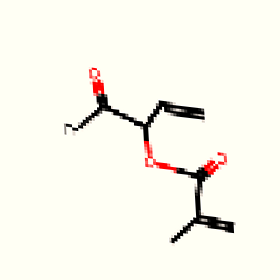 C=CC(OC(=O)C(=C)C)C(=O)CC